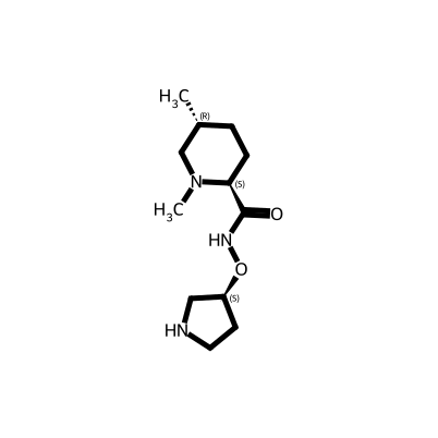 C[C@@H]1CC[C@@H](C(=O)NO[C@H]2CCNC2)N(C)C1